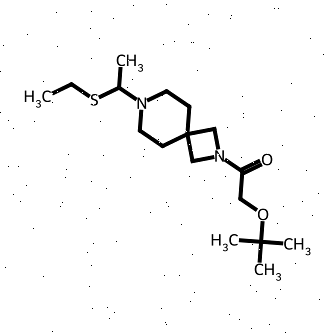 CCSC(C)N1CCC2(CC1)CN(C(=O)COC(C)(C)C)C2